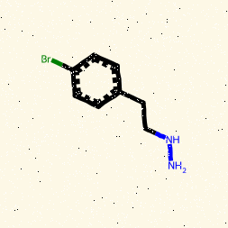 NNCCc1ccc(Br)cc1